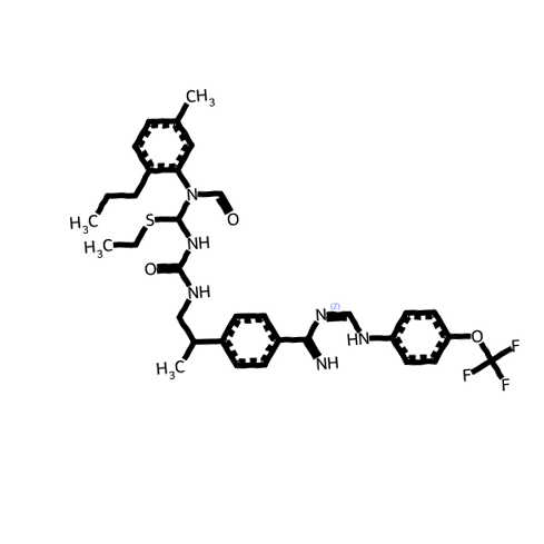 CCCc1ccc(C)cc1N(C=O)C(NC(=O)NCC(C)c1ccc(C(=N)/N=C\Nc2ccc(OC(F)(F)F)cc2)cc1)SCC